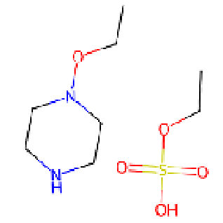 CCON1CCNCC1.CCOS(=O)(=O)O